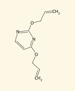 C=CCOc1ccnc(OCC=C)n1